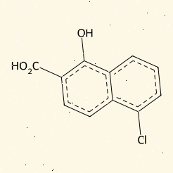 O=C(O)c1ccc2c(Cl)cccc2c1O